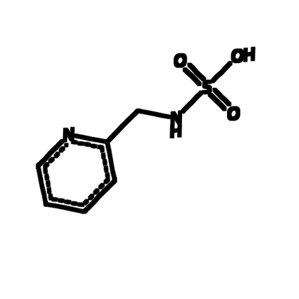 O=S(=O)(O)NCc1ccccn1